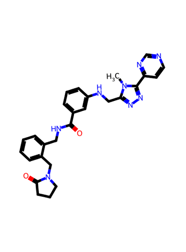 Cn1c(CNc2cccc(C(=O)NCc3ccccc3CN3CCCC3=O)c2)nnc1-c1ccncn1